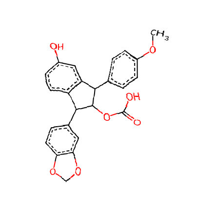 COc1ccc(C2c3cc(O)ccc3C(c3ccc4c(c3)OCO4)C2OC(=O)O)cc1